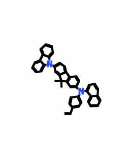 C=Cc1ccc(N(c2ccc3c(c2)C(C)(C)c2cc(-n4c5ccccc5c5ccccc54)ccc2-3)c2cccc3ccccc23)cc1